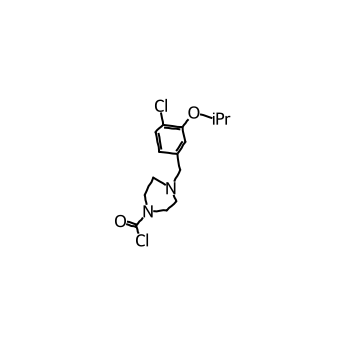 CC(C)Oc1cc(CN2CCN(C(=O)Cl)CC2)ccc1Cl